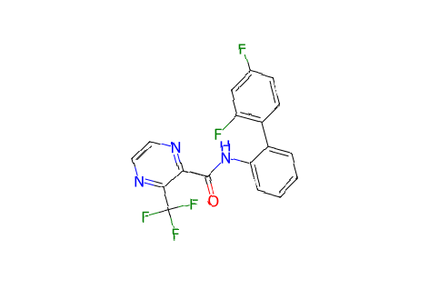 O=C(Nc1ccccc1-c1ccc(F)cc1F)c1nccnc1C(F)(F)F